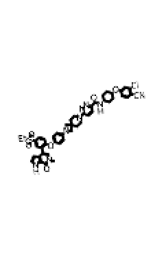 CCS(=O)(=O)c1ccc(Oc2ccc(N3CC4(CCN(c5ccc(C(=O)N[C@H]6CC[C@H](Oc7ccc(C#N)c(Cl)c7)CC6)nn5)CC4)C3)cc2)c(-c2cn(C)c(=O)c3[nH]ccc23)c1